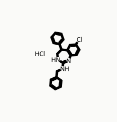 Cl.Clc1ccc2c(c1)C(c1ccccc1)CNC(NCc1ccccc1)=N2